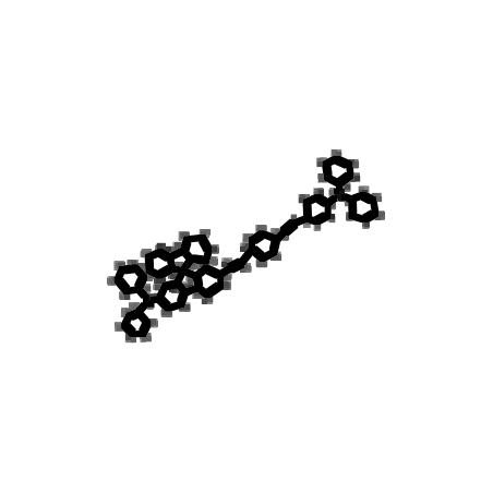 C(#Cc1ccc(N(c2ccccc2)c2ccccc2)cc1)c1ccc(C#Cc2ccc3c(c2)C2(c4ccccc4-c4ccccc42)c2cc(N(c4ccccc4)c4ccccc4)ccc2-3)cc1